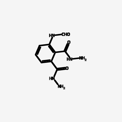 NNC(=O)c1cccc(NC=O)c1C(=O)NN